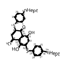 CCCCCCCc1ccc(SC2=CC(=O)c3c(O)c(Sc4ccc(CCCCCCC)cc4)cc(O)c3C2=O)cc1